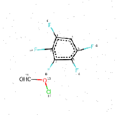 Fc1cc(F)c(F)c(F)c1F.O=COCl